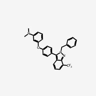 CN(C)c1cccc(Oc2ccc(-c3c4cccc(C(F)(F)F)c4nn3Cc3ccccc3)cc2)c1